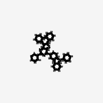 c1ccc(-c2nc(-c3ccc4c(c3)c3ccccc3n4-c3ccccc3)c3sc4c5ccccc5c5ccccc5c4c3n2)cc1